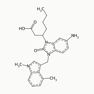 CCCCC(CC(=O)O)n1c(=O)n(Cc2cn(C)c3cccc(C)c23)c2ccc(N)cc21